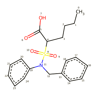 CCCCC(C(=O)O)S(=O)(=O)N(Cc1ccccc1)c1ccccc1